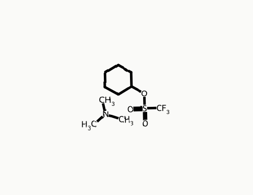 CN(C)C.O=S(=O)(OC1CCCCC1)C(F)(F)F